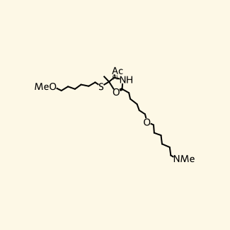 CNCCCCCCOCCCCCC(=O)N[C@H](C(C)=O)C(C)(C)SCCCCCCOC